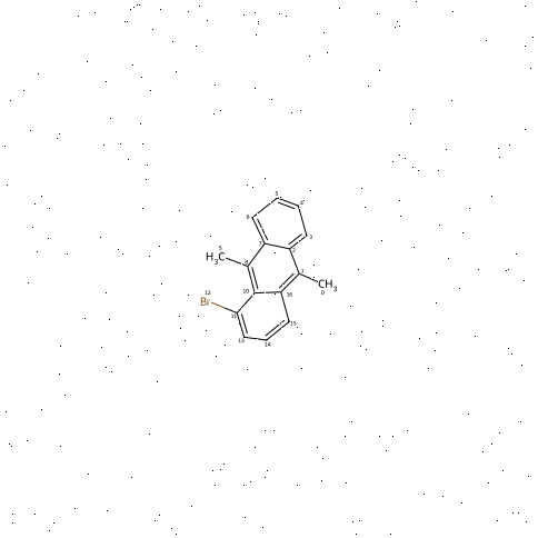 Cc1c2ccccc2c(C)c2c(Br)cccc12